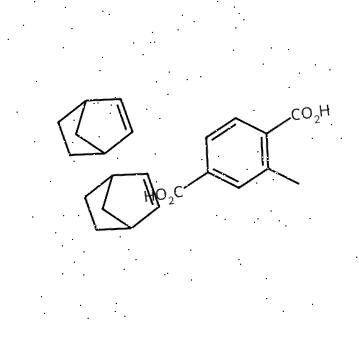 C1=CC2CCC1C2.C1=CC2CCC1C2.Cc1cc(C(=O)O)ccc1C(=O)O